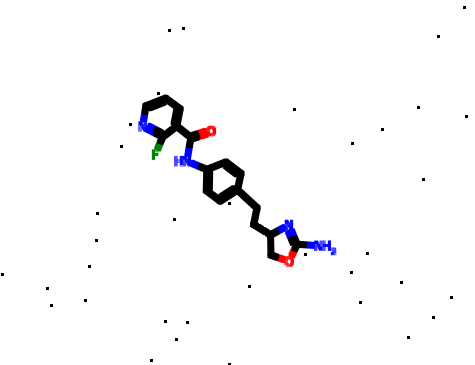 NC1=NC(CCc2ccc(NC(=O)c3cccnc3F)cc2)CO1